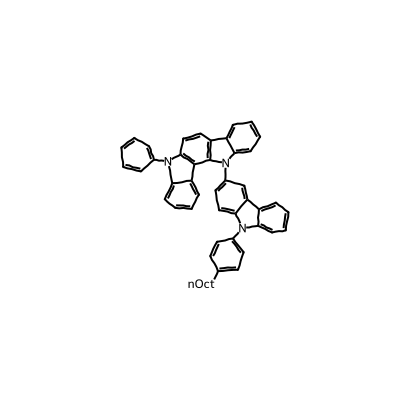 CCCCCCCCc1ccc(-n2c3ccccc3c3cc(-n4c5ccccc5c5ccc6c(c7ccccc7n6-c6ccccc6)c54)ccc32)cc1